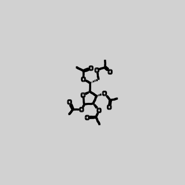 CC(=O)OC[C@@H](OC(C)=O)[C@@H]1OC(OC(C)=O)[C@H](OC(C)=O)[C@H]1OC(C)=O